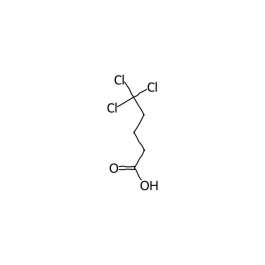 O=C(O)CCCC(Cl)(Cl)Cl